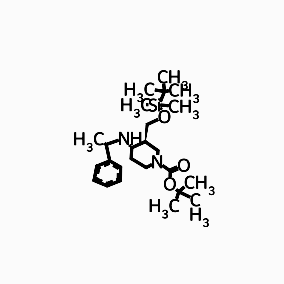 C[C@@H](N[C@@H]1CCN(C(=O)OC(C)(C)C)C[C@@H]1CO[Si](C)(C)C(C)(C)C)c1ccccc1